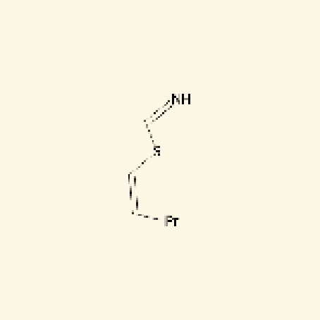 CC(C)/C=C\SC=N